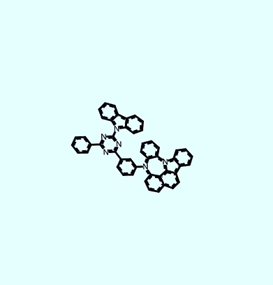 c1ccc(-c2nc(-c3cccc(-n4c5cccc6ccc7c8ccccc8n(c8ccccc84)c7c65)c3)nc(-n3c4ccccc4c4ccccc43)n2)cc1